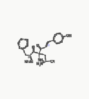 CC(=O)N[C@@H](Cc1ccccc1)C(=O)C(N)(CC(N)C#N)C(=O)/C=C/c1ccc(O)cc1